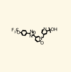 CC(C)(O)c1cc(Cn2cc(-c3nc(-c4ccc(OC(F)(F)F)cc4)no3)ccc2=O)ccn1